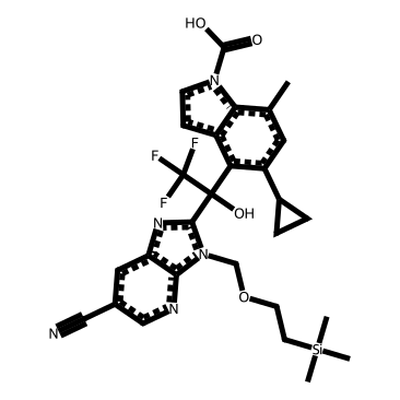 Cc1cc(C2CC2)c(C(O)(c2nc3cc(C#N)cnc3n2COCC[Si](C)(C)C)C(F)(F)F)c2ccn(C(=O)O)c12